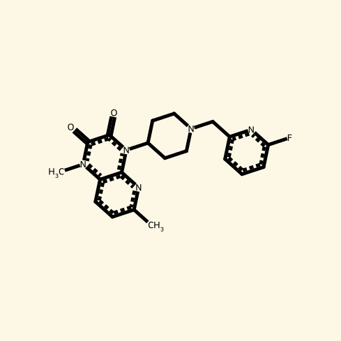 Cc1ccc2c(n1)n(C1CCN(Cc3cccc(F)n3)CC1)c(=O)c(=O)n2C